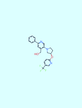 OCc1cc(-c2ccccc2)ncc1N1CC[C@@H](Oc2ccc(C(F)(F)F)cn2)C1